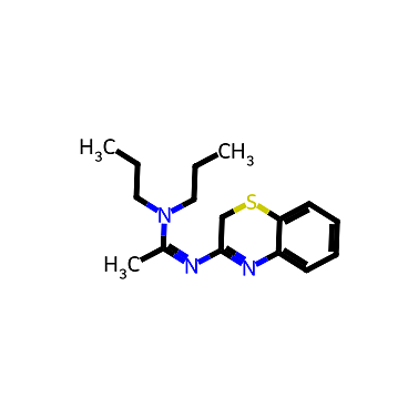 CCCN(CCC)C(C)=NC1=Nc2ccccc2SC1